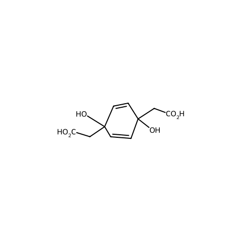 O=C(O)CC1(O)C=CC(O)(CC(=O)O)C=C1